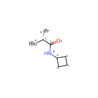 CC(C)[C@H](C(=O)NC1CCC1)C(C)(C)C